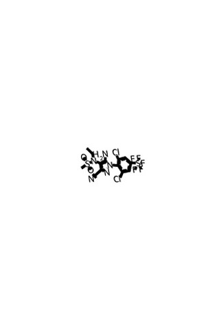 CCN(c1c(C#N)nn(-c2c(Cl)cc(S(F)(F)(F)(F)F)cc2Cl)c1N)S(C)(=O)=O